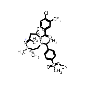 C/C1=N\N(C)[C@H](C)CN(C(C)c2ccc(S(C)(=O)=NC#N)cc2)N(C(=O)c2ccc(Cl)c(C(F)(F)F)c2)[C@H](C)C1